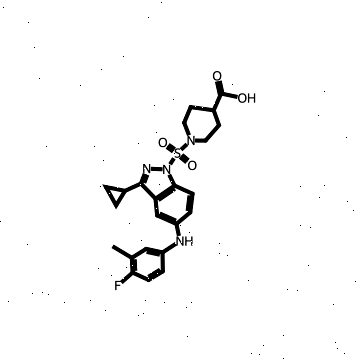 Cc1cc(Nc2ccc3c(c2)c(C2CC2)nn3S(=O)(=O)N2CCC(C(=O)O)CC2)ccc1F